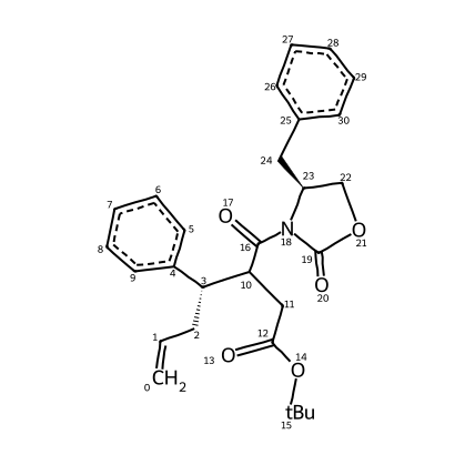 C=CC[C@H](c1ccccc1)C(CC(=O)OC(C)(C)C)C(=O)N1C(=O)OC[C@@H]1Cc1ccccc1